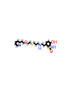 O=c1[nH]c2c(O)ccc(CCNCCCSCCOCCc3ccccn3)c2s1